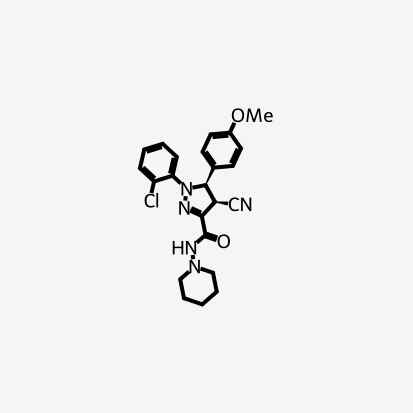 COc1ccc([C@H]2[C@@H](C#N)C(C(=O)NN3CCCCC3)=NN2c2ccccc2Cl)cc1